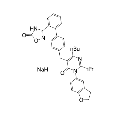 CCCCc1nc(C(C)C)n(-c2ccc3c(c2)CCO3)c(=O)c1Cc1ccc(-c2ccccc2-c2noc(=O)[nH]2)cc1.[NaH]